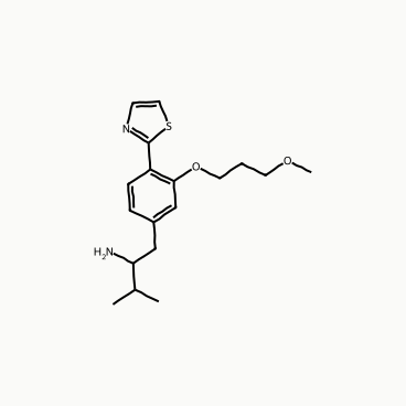 COCCCOc1cc(CC(N)C(C)C)ccc1-c1nccs1